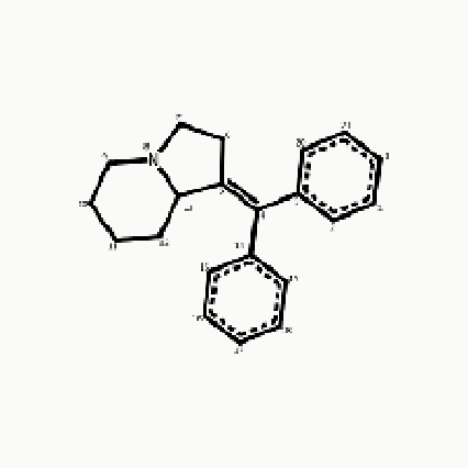 c1ccc(C(=C2CCN3CCCCC23)c2ccccc2)cc1